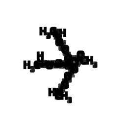 CNCCOCCOCCOc1cc(C(C)=O)cc(OCCOCCOCCNC)c1OCCOCCOCCNC